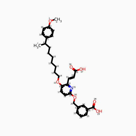 COc1ccc(C(C)CCCCCCCOc2ccc(OCc3cccc(C(=O)O)c3)nc2C=CC(=O)O)cc1